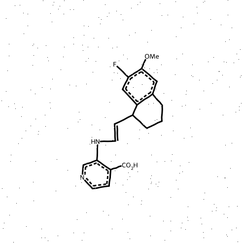 COc1cc2c(cc1F)C(/C=C/Nc1cnccc1C(=O)O)CCC2